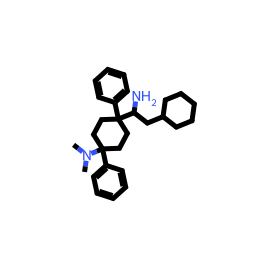 CN(C)C1(c2ccccc2)CCC(c2ccccc2)(C(N)CC2CCCCC2)CC1